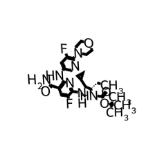 CC[C@H](NC(=O)OC(C)(C)C)[C@H](Nc1nc(Nc2cnc(N3CCOCC3)c(F)c2)c(C(N)=O)cc1F)C1CC1